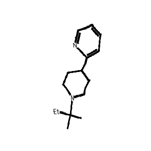 CCC(C)(C)N1CCC(c2ccccn2)CC1